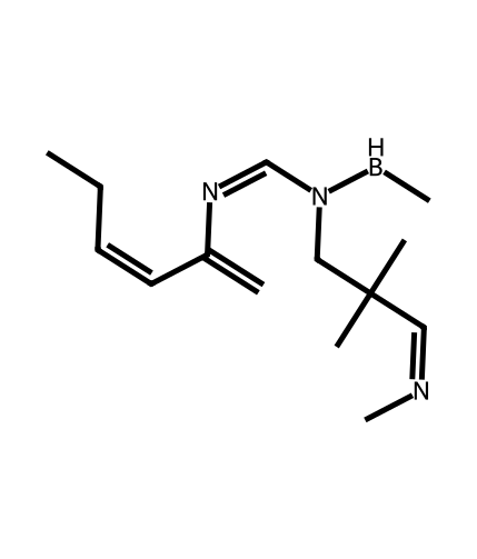 C=C(/C=C\CC)/N=C\N(BC)CC(C)(C)/C=N\C